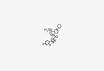 COC(=O)C1CN(C2CCCCC2)CCC1NC(=O)c1nnc(-c2ccc(F)cc2F)o1